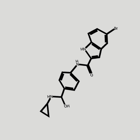 O=C(Nc1ccc(C(O)NC2CC2)cc1)c1cc2cc(Br)ccc2[nH]1